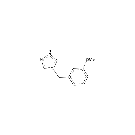 COc1cccc(Cc2cn[nH]c2)c1